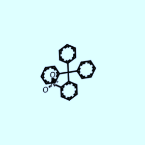 O=[N+]([O-])c1ccccc1C(c1ccccc1)(c1ccccc1)c1ccccc1